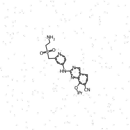 CC(C)Oc1c(C#N)ccc2cnc(Nc3ccnc(CS(=O)(=O)CCN)c3)nc12